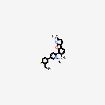 Cc1ccc2c(n1)oc1c(-c3ccc(-c4ccc(F)c(CC(C)C)c4)c[n+]3C)c(C)ccc12